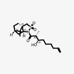 C=CCCCC[C@@H](O)[C@@H](C)C(=O)N1[C@H]2C[C@@H]3CC[C@@]2(CS1(=O)=O)C3(C)C